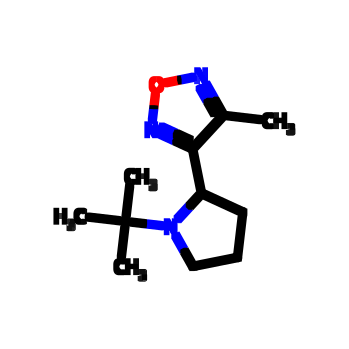 Cc1nonc1C1CCCN1C(C)(C)C